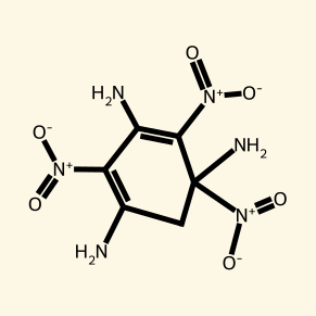 NC1=C([N+](=O)[O-])C(N)=C([N+](=O)[O-])C(N)([N+](=O)[O-])C1